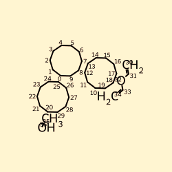 C1CCCCCCCCC1.C1CCCCCCCCC1.C1CCCCCCCCC1.C=COC=C.CO